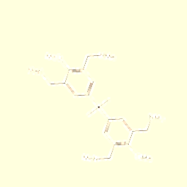 CNCc1cc(C(C)(C)c2cc(CNC)c(OC)c(CNC)c2)cc(CNC)c1OC